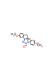 COc1ccc([C@H]2[C@@H]3CCc4ccc(OC)cc4C3=NN2C=O)cc1